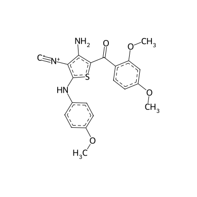 [C-]#[N+]c1c(Nc2ccc(OC)cc2)sc(C(=O)c2ccc(OC)cc2OC)c1N